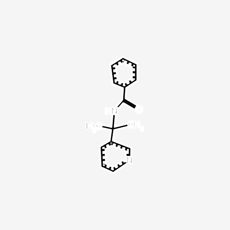 CC(C)(NC(=O)c1ccccc1)c1cccnc1